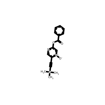 C[Si](C)(C)C#Cc1cnc(OC(=O)c2ccccc2)c[n+]1[O-]